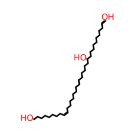 OC=CCCCCCCCCCC(O)CCCCCCCCCCCCCC/C=C\CCCCCCCCO